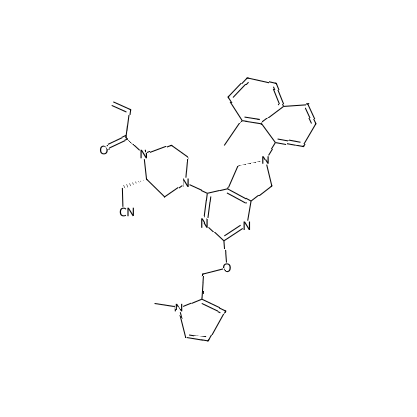 C=CC(=O)N1CCN(c2nc(OCc3cccn3C)nc3c2CN(c2cccc4cccc(C)c24)C3)C[C@@H]1CC#N